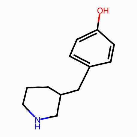 Oc1ccc(CC2CCCNC2)cc1